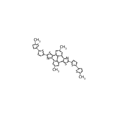 Cc1cc2c3nc(-c4ccc(-c5ccc(C)s5)s4)sc3c3cc(C)cc4c5nc(-c6ccc(-c7ccc(C)s7)s6)sc5c(c1)c2c43